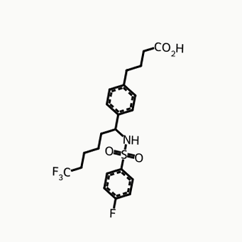 O=C(O)CCCc1ccc(C(CCCCC(F)(F)F)NS(=O)(=O)c2ccc(F)cc2)cc1